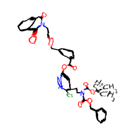 CC(C)(C)OC(=O)N(CCc1cc(OC(=O)c2cccc(COCCN3C(=O)c4ccccc4C3=O)c2)nnc1Cl)C(=O)OCc1ccccc1